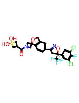 O=C(C1CS(O)(O)C1)N1CC2(C1)OCc1cc(C3=NO[C@@](c4cc(Cl)c(F)c(Cl)c4)(C(F)(F)F)C3)ccc12